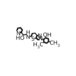 Cc1cc(C)c(-n2cc3c(n2)CC=C(NCC(O)c2ccccn2)S3)c(O)c1